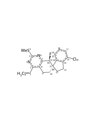 C=Cc1nc(SC)nc2c1CC[C@]1(CCc3c(Cl)cccc31)[C@@H]2F